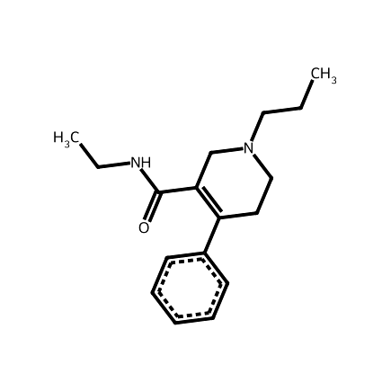 CCCN1CCC(c2ccccc2)=C(C(=O)NCC)C1